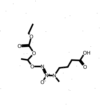 CCOC(=O)OC(C)O/N=[N+](\[O-])N(C)CCCC(=O)O